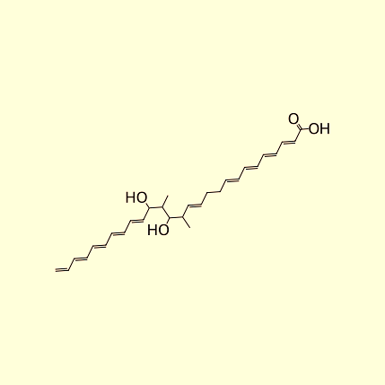 C=C/C=C/C=C/C=C/C=C/C(O)C(C)C(O)C(C)/C=C/CC/C=C/C=C/C=C/C=C/C(=O)O